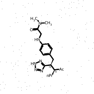 CCC[C@H](C(C)=O)[C@H](Cc1ccc(NCC(=O)N(C)C)cc1)c1nn[nH]n1